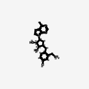 Cc1ncnc2c1ccn2C1CC(Cc2ccc(Cl)cc2CN)[C@@H](O)[C@H]1O